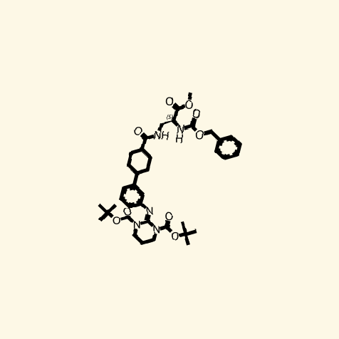 COC(=O)[C@H](CNC(=O)C1CCC(c2cccc(N=C3N(C(=O)OC(C)(C)C)CCCN3C(=O)OC(C)(C)C)c2)CC1)NC(=O)OCc1ccccc1